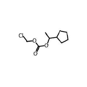 CC(OC(=O)OCCl)C1CCCC1